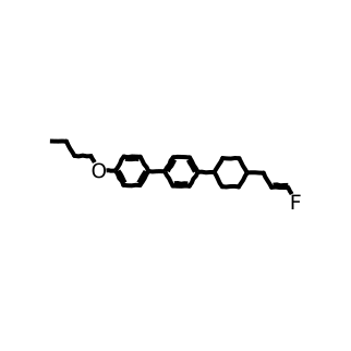 CCCCOc1ccc(-c2ccc(C3CCC(CC=CF)CC3)cc2)cc1